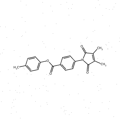 CC1=C(C)C(=O)N(c2ccc(C(=O)Oc3ccc(C)cc3)cc2)C1=O